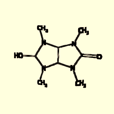 CN1C(=O)N(C)C2C1N(C)C(O)N2C